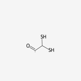 O=[C]C(S)S